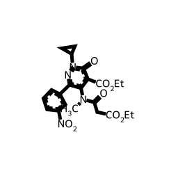 CCOC(=O)CC(=O)N(C)c1c(-c2cccc([N+](=O)[O-])c2)nn(C2CC2)c(=O)c1C(=O)OCC